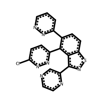 Clc1ccc(-c2c(-c3cccnn3)ccc3snc(-c4cnccn4)c23)nn1